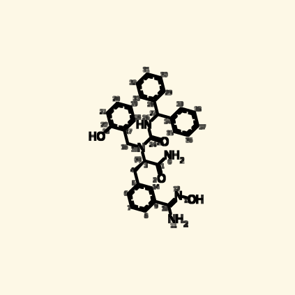 NC(=O)[C@@H](Cc1cccc(C(N)=NO)c1)N(Cc1ccccc1O)C(=O)NC(c1ccccc1)c1ccccc1